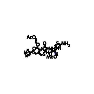 CO/N=C(\C(=O)N[C@@H]1C(=O)N2C(C(=O)OCCOC(C)=O)=C(CSc3cnns3)CS[C@@H]12)c1csc(N)n1